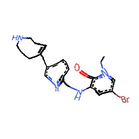 Cn1cc(Br)cc(Nc2ccc(C3=CCNCC3)cn2)c1=O